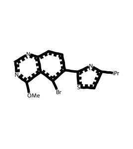 COc1n[c]nc2ccc(-c3nc(C(C)C)cs3)c(Br)c12